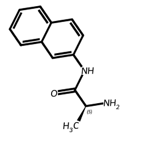 C[C@H](N)C(=O)Nc1ccc2ccccc2c1